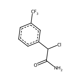 NC(=O)C(Cl)c1cccc(C(F)(F)F)c1